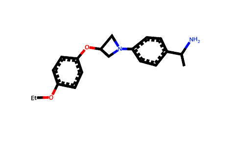 CCOc1ccc(OC2CN(c3ccc(C(C)N)cc3)C2)cc1